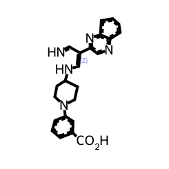 N=C/C(=C\NC1CCN(c2cccc(C(=O)O)c2)CC1)c1cnc2ccccc2n1